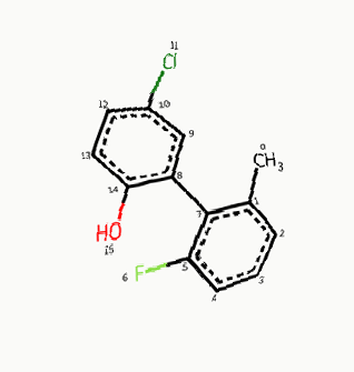 Cc1cccc(F)c1-c1cc(Cl)ccc1O